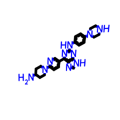 NC1CCN(c2ccc(-c3nc(Nc4ccc(N5CCNCC5)cc4)nc4[nH]cnc34)cn2)CC1